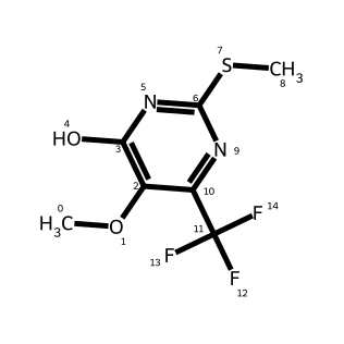 COc1c(O)nc(SC)nc1C(F)(F)F